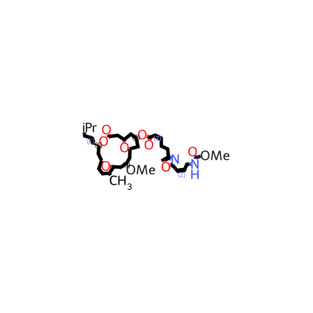 COC(=O)NC/C=C\c1nc(CC/C=C\C(=O)O[C@H]2CC3CC(=O)O[C@H](/C=C/CC(C)C)CC4CCC(C)C(C[C@@H](OC)CC(C2)O3)O4)co1